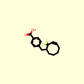 O=C(O)c1ccc(CC2CCCCC#CC2(F)F)cc1